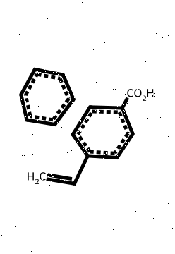 C=Cc1ccc(C(=O)O)cc1.c1ccccc1